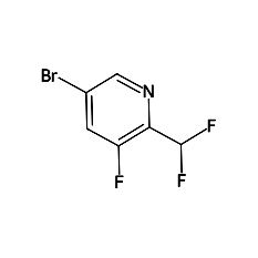 Fc1cc(Br)cnc1C(F)F